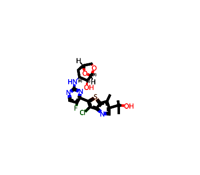 Cc1c(C(C)(C)O)cnc2c(Cl)c(-c3nc(N[C@@H]4C[C@H]5CO[C@H](O5)[C@H]4O)ncc3F)sc12